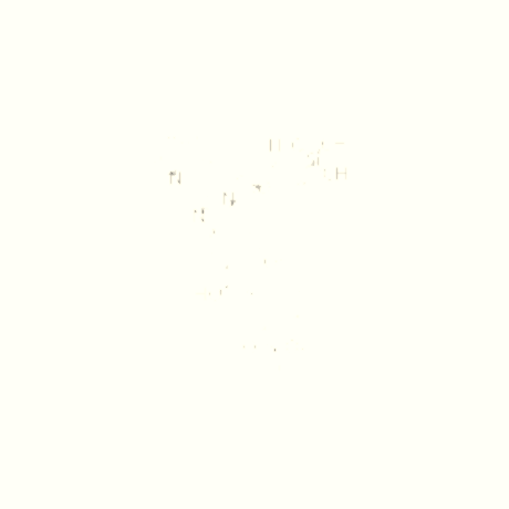 CCS(=O)(=O)c1ccc(Oc2cc3c(cc2CO)nc(-c2ccccn2)n3COCC[Si](C)(C)C)cc1